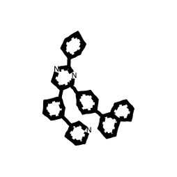 c1ccc(-c2ncc(-c3cccc(-c4cccnc4)c3)c(-c3ccc(-c4cccc5ccccc45)cc3)n2)cc1